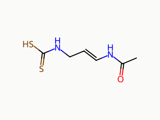 CC(=O)NC=CCNC(=S)S